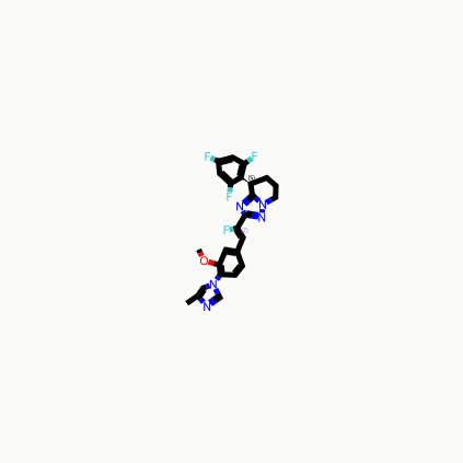 COc1cc(/C=C(\F)c2nc3n(n2)CCC[C@H]3c2c(F)cc(F)cc2F)ccc1-n1cnc(C)c1